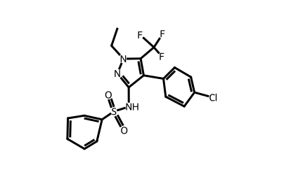 CCn1nc(NS(=O)(=O)c2ccccc2)c(-c2ccc(Cl)cc2)c1C(F)(F)F